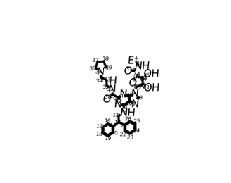 CCNC(=O)[C@H]1O[C@@H](n2cnc3c(NCC(c4ccccc4)c4ccccc4)nc(C(=O)NCCCN4CCCC4)nc32)[C@H](O)[C@@H]1O